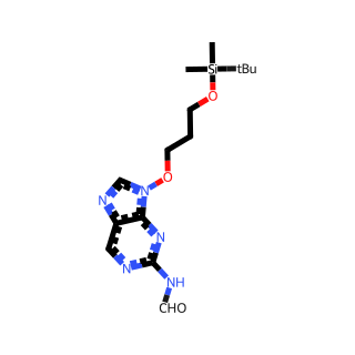 CC(C)(C)[Si](C)(C)OCCCOn1cnc2cnc(NC=O)nc21